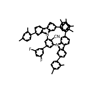 Cc1ccc(-c2ccc3c4ccc(-c5ccc(C)cc5C)cc4n(-c4cc(-c5cc(F)cc(F)c5)cc(-n5c6cc(-c7ccc(C)cc7C)ccc6c6ccc(-c7ccc(C)cc7C)cc65)c4C#N)c3c2)c(C)c1